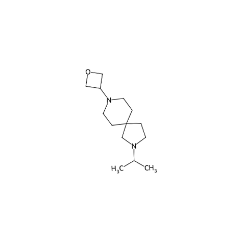 CC(C)N1CCC2(CCN(C3COC3)CC2)C1